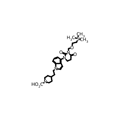 C[Si](C)(C)CCOCN1C(=O)CCN(c2cccc3c2ccn3CCC2CCN(C(=O)O)CC2)C1=O